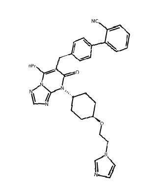 CCCc1c(Cc2ccc(-c3ccccc3C#N)cc2)c(=O)n([C@H]2CC[C@H](OCCn3ccnc3)CC2)c2ncnn12